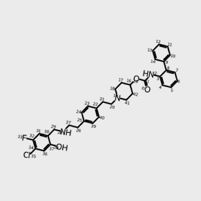 O=C(Nc1ccccc1-c1ccccc1)OC1CCN(CCc2ccc(CCNCc3cc(F)c(Cl)cc3O)cc2)CC1